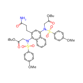 COc1ccc(S(=O)(=O)N(CC(=O)OCC(C)C)c2cc(CCC(N)=O)c(N(CC(=O)OCC(C)C)S(=O)(=O)c3ccc(OC)cc3)c3ccccc23)cc1